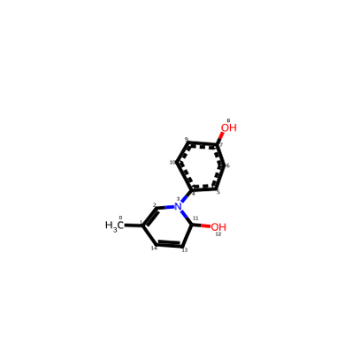 CC1=CN(c2ccc(O)cc2)C(O)C=C1